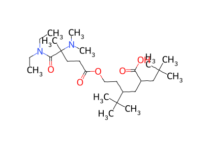 CCN(CC)C(=O)C(C)(CCC(=O)OCCC(CC(CC(C)(C)C)C(=O)O)C(C)(C)C)N(C)C